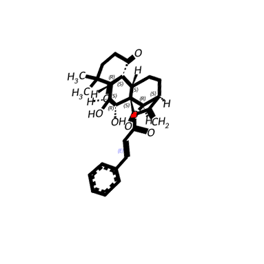 C=C1C(=O)[C@]23[C@H](OC(=O)/C=C/c4ccccc4)[C@H]1CC[C@H]2[C@@]12CO[C@@]3(O)[C@@H](O)[C@@H]1C(C)(C)CCC2=O